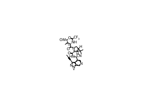 CC#Cc1nn(C)c2cncc(C(C#N)NC(=O)[C@@H]3[C@@H]4[C@H](CN3C(=O)[C@@H](NC(=O)C(F)(F)F)[C@@H](C)OC)C4(C)C)c12